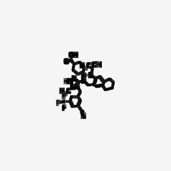 CCN(C[C@H]1CC[C@H](C(=O)O)CC1)c1cc2c(cc1CNC1=NNN(C)N1Cc1cc(C#N)cc(C(F)(F)F)c1)CCCC2.Cl